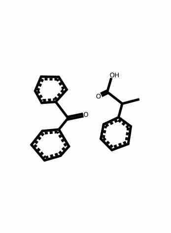 CC(C(=O)O)c1ccccc1.O=C(c1ccccc1)c1ccccc1